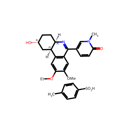 CCOc1cc2c(cc1OC)C(c1ccc(=O)n(C)c1)=N[C@@H]1CC[C@@H](O)C[C@H]21.Cc1ccc(S(=O)(=O)O)cc1